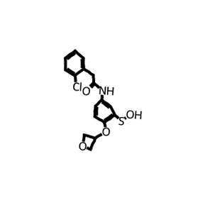 O=C(Cc1ccccc1Cl)Nc1ccc(OC2COC2)c(SO)c1